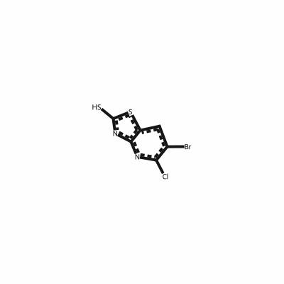 Sc1nc2nc(Cl)c(Br)cc2s1